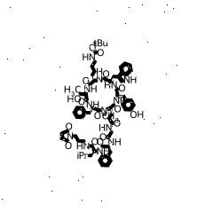 CC(C)C[C@H](NC(=O)[C@H](Cc1ccccc1)NC(=O)CNC(=O)CC[C@H]1C(=O)N[C@@H](Cc2ccc(O)cc2)C(=O)N[C@H](Cc2c[nH]c3ccccc23)C(=O)N[C@@H](CCCCNC(=O)OC(C)(C)C)C(=O)N[C@@H]([C@@H](C)O)C(=O)N[C@@H](Cc2ccccc2)C(=O)N1C)C(=O)NCCCN1C(=O)C=CC1=O